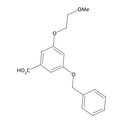 COCCOc1cc(OCc2ccccc2)cc(C(=O)O)c1